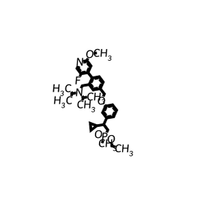 CCOP(C)(=O)CC(c1cccc(OCc2ccc(-c3cc(OC)ncc3F)c(CN(C(C)C)C(C)C)c2)c1)C1CC1